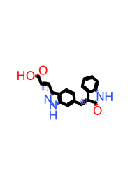 O=C(O)/C=C/c1n[nH]c2cc(/C=C3/C(=O)Nc4ccccc43)ccc12